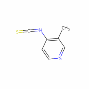 Cc1cnccc1N=C=S